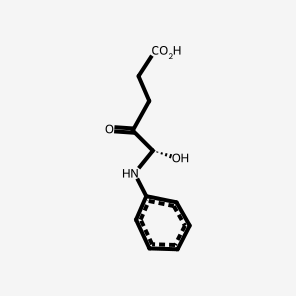 O=C(O)CCC(=O)[C@H](O)Nc1ccccc1